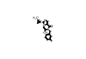 Cc1cn2c([C@@H]3C[C@@H]3C)ncc2c(=O)n1Cc1cccc(F)c1